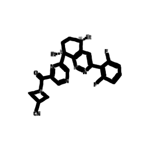 CC[C@H]1CC[C@](CC)(c2cncc(C(=O)N3CC(C#N)C3)n2)c2nnc(-c3c(F)cccc3F)cc21